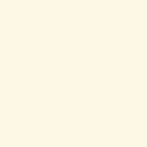 O=C(O)/C=C/c1ccc(C(=O)O)cc1Cl